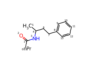 CCCC(=O)NC(C)CCc1ccccc1